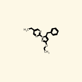 CCOc1cc(Cc2ccccc2)n(-c2ncc(CC)cn2)n1